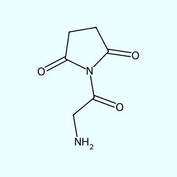 NCC(=O)N1C(=O)CCC1=O